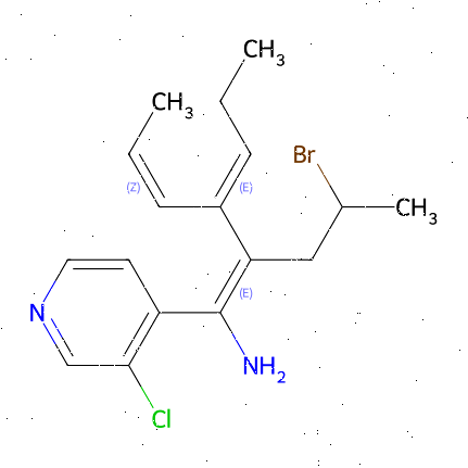 C\C=C/C(=C\CC)C(/CC(C)Br)=C(/N)c1ccncc1Cl